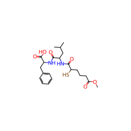 COC(=O)CCCC(S)C(=O)NC(CC(C)C)C(=O)NC(Cc1ccccc1)C(=O)O